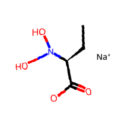 CC[C@@H](C(=O)[O-])N(O)O.[Na+]